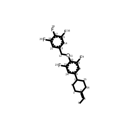 CC=C1CCC(c2cc(F)c(OCc3cc(F)c(F)c(F)c3)c(F)c2)CC1